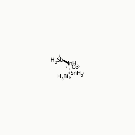 [BiH3].[Co].[InH2][SbH2].[SnH2]